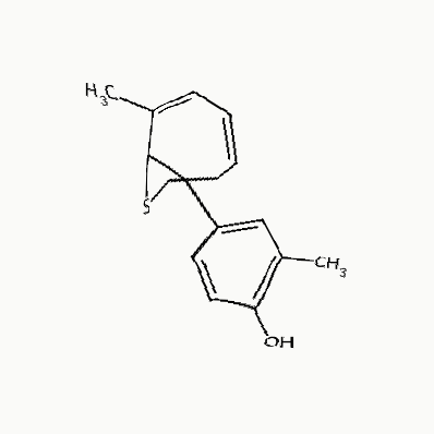 CC1=CC=CC2(c3ccc(O)c(C)c3)SC12